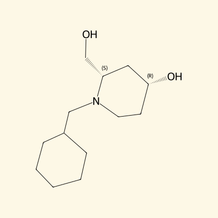 OC[C@@H]1C[C@H](O)CCN1CC1CCCCC1